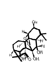 CC1(C)C[C@H](O)[C@H]2OO[C@]3(O)[C@@H](O)[C@H]1[C@]2(C)[C@@H]1CC[C@@H]2[C@H](O)[C@@]13C(=O)C2(C)C